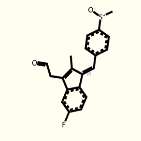 CC1=C(CC=O)c2cc(F)ccc2/C1=C/c1ccc([S+](C)[O-])cc1